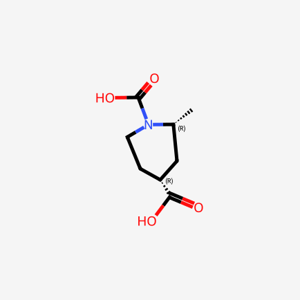 C[C@@H]1C[C@H](C(=O)O)CCN1C(=O)O